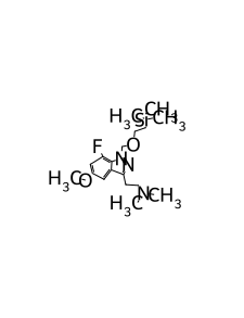 COc1cc(F)c2c(c1)c(CCN(C)C)nn2COCC[Si](C)(C)C